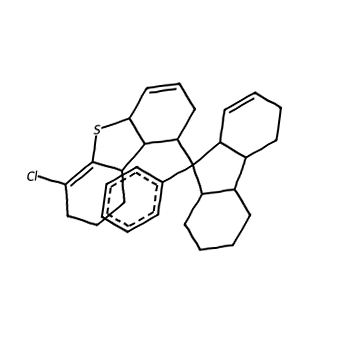 ClC1=C2SC3C=CCC(C4(c5ccccc5)C5C=CCCC5C5CCCCC54)C3C2CCC1